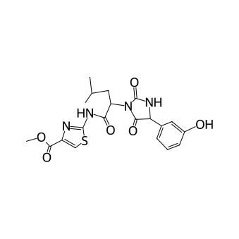 COC(=O)c1csc(NC(=O)C(CC(C)C)N2C(=O)NC(c3cccc(O)c3)C2=O)n1